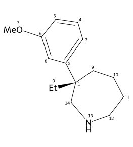 CC[C@@]1(c2cccc(OC)c2)CCCCNC1